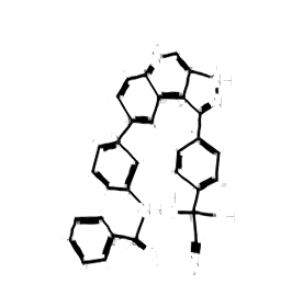 CC(C)(C#N)c1ccc(-c2n[nH]c3cnc4ccc(-c5cccc(NC(=O)c6ccccc6)c5)cc4c23)cc1